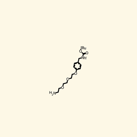 CC(C)(C)OC(=O)NCc1ccc(OCCOCCOCCN)cc1